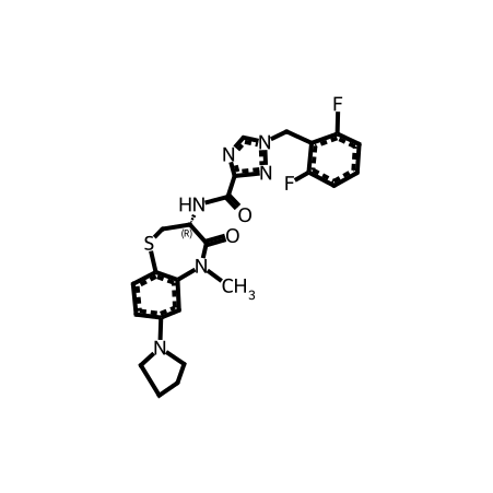 CN1C(=O)[C@@H](NC(=O)c2ncn(Cc3c(F)cccc3F)n2)CSc2ccc(N3CCCC3)cc21